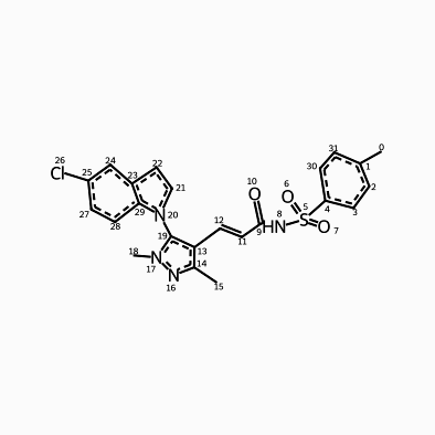 Cc1ccc(S(=O)(=O)NC(=O)C=Cc2c(C)nn(C)c2-n2ccc3cc(Cl)ccc32)cc1